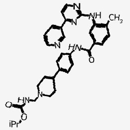 Cc1ccc(C(=O)Nc2ccc(C3CCN(CNC(=O)OC(C)C)CC3)cc2)cc1Nc1nccc(-c2cccnc2)n1